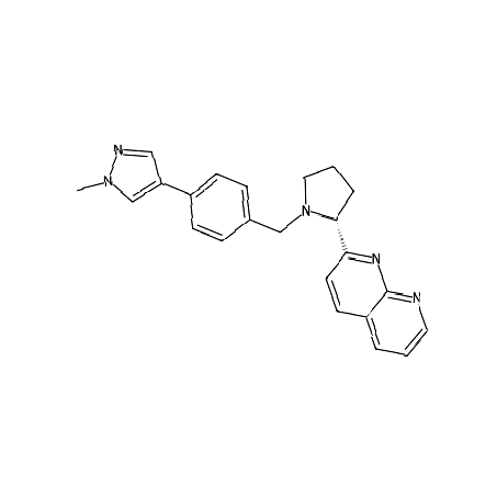 Cn1cc(-c2ccc(CN3CCC[C@@H]3c3ccc4cccnc4n3)cc2)cn1